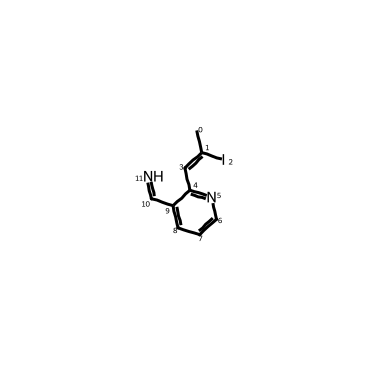 C/C(I)=C/c1ncccc1C=N